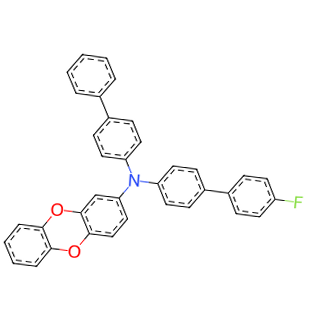 Fc1ccc(-c2ccc(N(c3ccc(-c4ccccc4)cc3)c3ccc4c(c3)Oc3ccccc3O4)cc2)cc1